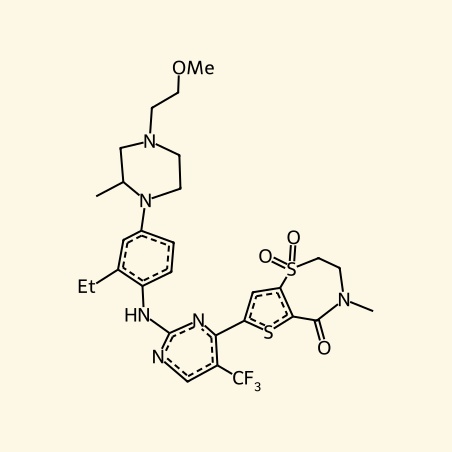 CCc1cc(N2CCN(CCOC)CC2C)ccc1Nc1ncc(C(F)(F)F)c(-c2cc3c(s2)C(=O)N(C)CCS3(=O)=O)n1